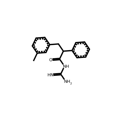 Cc1cccc(CC(C(=O)NC(=N)N)c2ccccc2)c1